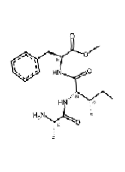 CC[C@H](C)[C@H](NC(=O)[C@H](C)N)C(=O)N[C@@H](Cc1ccccc1)C(=O)OC